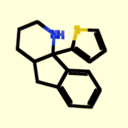 c1csc(C23NCCCC2Cc2ccccc23)c1